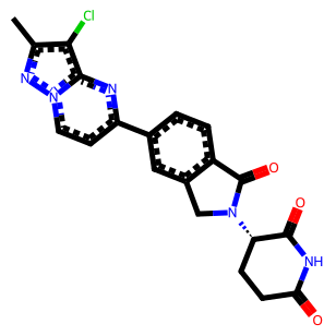 Cc1nn2ccc(-c3ccc4c(c3)CN([C@H]3CCC(=O)NC3=O)C4=O)nc2c1Cl